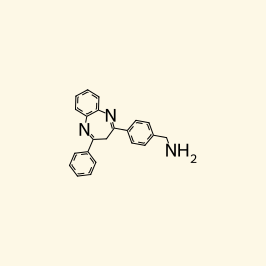 NCc1ccc(C2=Nc3ccccc3N=C(c3ccccc3)C2)cc1